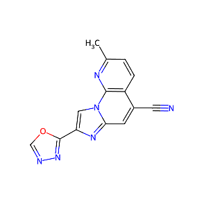 Cc1ccc2c(C#N)cc3nc(-c4nnco4)cn3c2n1